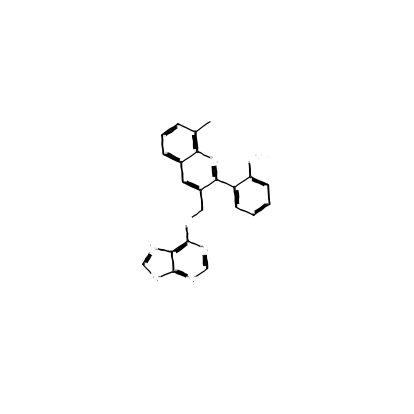 COc1ccccc1-c1nc2c(C)cccc2cc1COc1ncnc2[nH]cnc12